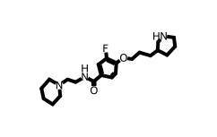 O=C(NCCN1CCCCC1)c1ccc(OCCCC2CCCNC2)c(F)c1